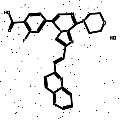 Cl.O=C(O)c1ccc(-c2cnc(N3CCOCC3)c3nc(C=Cc4ccc5ccccc5n4)cn23)cc1F